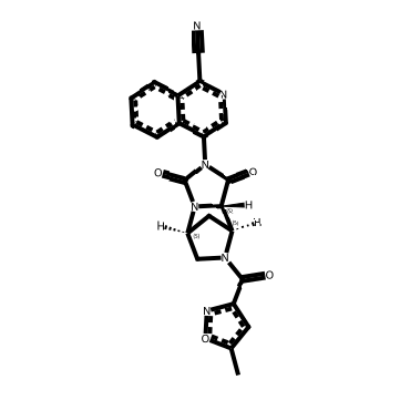 Cc1cc(C(=O)N2C[C@@H]3C[C@H]2[C@H]2C(=O)N(c4cnc(C#N)c5ccccc45)C(=O)N32)no1